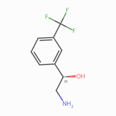 NC[C@H](O)c1cccc(C(F)(F)F)c1